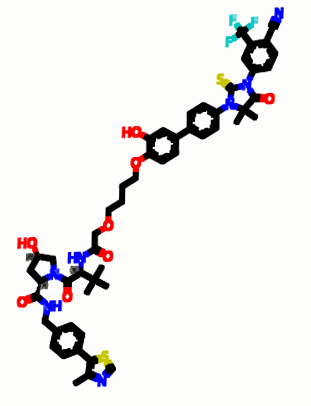 Cc1ncsc1-c1ccc(CNC(=O)[C@@H]2C[C@@H](O)CN2C(=O)[C@@H](NC(=O)COCCCCOc2ccc(-c3ccc(N4C(=S)N(c5ccc(C#N)c(C(F)(F)F)c5)C(=O)C4(C)C)cc3)cc2O)C(C)(C)C)cc1